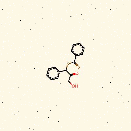 O=C(CO)C(SC(=S)c1ccccc1)c1ccccc1